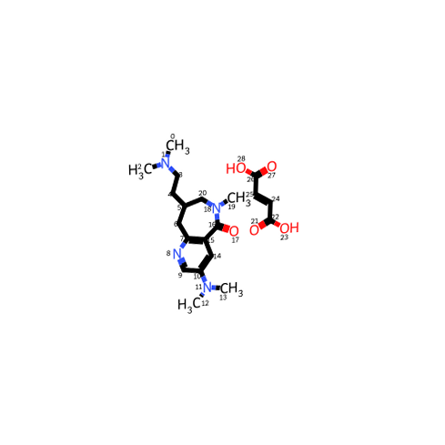 CN(C)CCC1Cc2ncc(N(C)C)cc2C(=O)N(C)C1.O=C(O)C=CC(=O)O